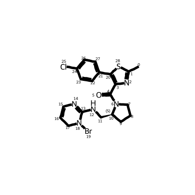 Cc1nc(C(=O)N2CCC[C@H]2CNC2=NC=CCN2Br)c(-c2ccc(Cl)cc2)s1